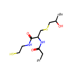 CCCCC(O)CSCC(NC(=O)CC(C)C)C(=O)NCCS